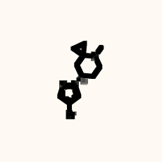 CN1CC[C@H](n2cc(Br)cn2)CC12CC2